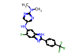 CN(C)c1ncc(Nc2cc3[nH]c(-c4ccc(C(F)(F)F)cc4)nc3cc2F)cn1